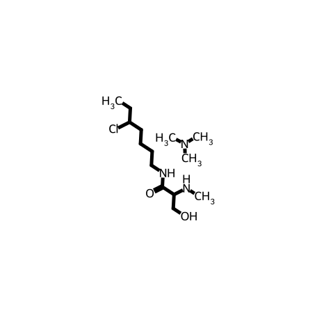 CCC(Cl)CCCCNC(=O)C(CO)NC.CN(C)C